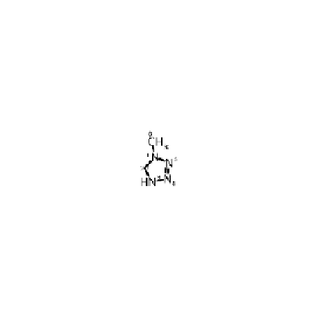 CN1[C]NN=N1